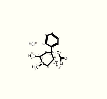 CCC(=O)O[C@@]1(c2ccccc2)C[C@H](C)N(C)C[C@H]1C.Cl